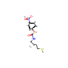 CSCC[C@H](C)CNC(=O)Oc1ccc([N+](=O)[O-])cc1